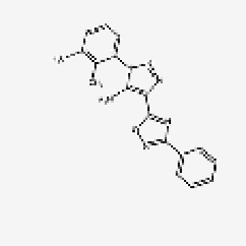 Cc1cccc(-n2nnc(-c3nc(-c4ccccc4)no3)c2N)c1C